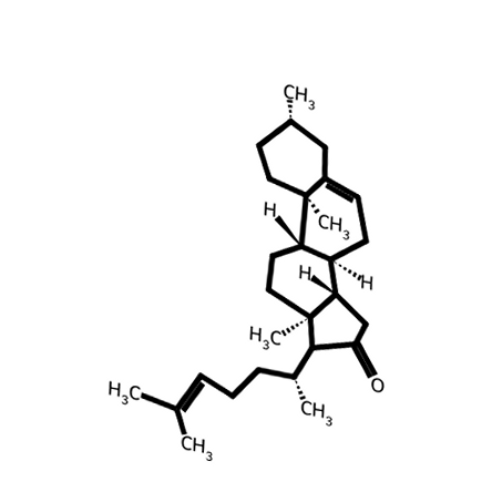 CC(C)=CCC[C@@H](C)C1C(=O)C[C@H]2[C@@H]3CC=C4C[C@@H](C)CC[C@]4(C)[C@H]3CC[C@]12C